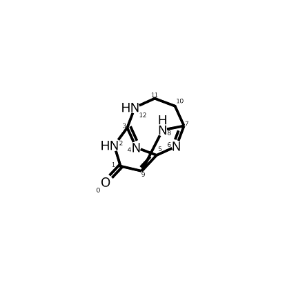 O=c1[nH]c2nc3nc([nH]c13)CCN2